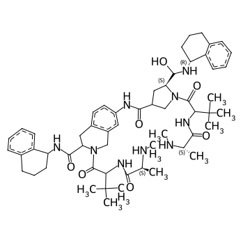 CN[C@@H](C)C(=O)NC(C(=O)N1Cc2cc(NC(=O)C3C[C@@H](C(O)N[C@@H]4CCCc5ccccc54)N(C(=O)C(NC(=O)[C@H](C)NC)C(C)(C)C)C3)ccc2CC1C(=O)NC1CCCc2ccccc21)C(C)(C)C